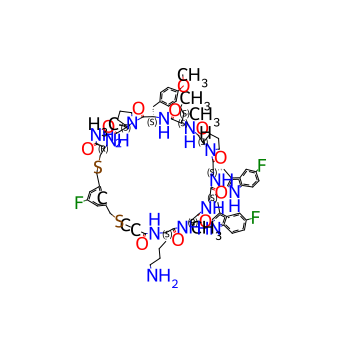 CC[C@H](C)[C@@H]1NC(=O)[C@@H]2CCCN2C(=O)[C@H](Cc2c[nH]c3ccc(F)cc23)NC(=O)[C@H](Cc2c[nH]c3ccc(F)cc23)NC(=O)[C@@H](C)NC(=O)[C@H](CCCCN)NC(=O)CCSCc2cc(F)cc(c2)CSC[C@@H](C(N)=O)NC(=O)[C@]2(C)CCCN2C(=O)[C@H](Cc2ccc(OC)cc2)NC1=O